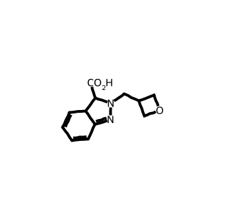 O=C(O)C1C2C=CC=CC2=NN1CC1COC1